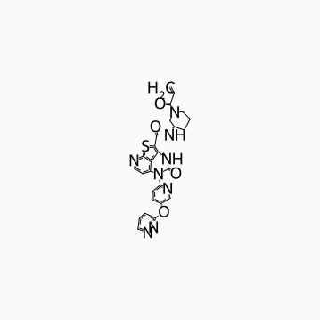 C=CC(=O)N1CCC[C@@H](NC(=O)c2sc3nccc4c3c2NC(=O)N4c2ccc(Oc3cccnn3)cn2)C1